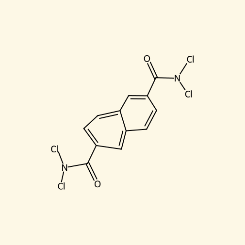 O=C(c1ccc2cc(C(=O)N(Cl)Cl)ccc2c1)N(Cl)Cl